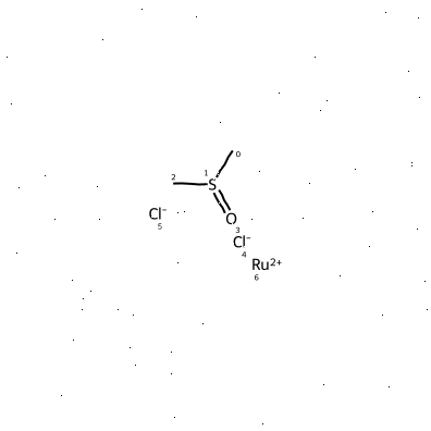 CS(C)=O.[Cl-].[Cl-].[Ru+2]